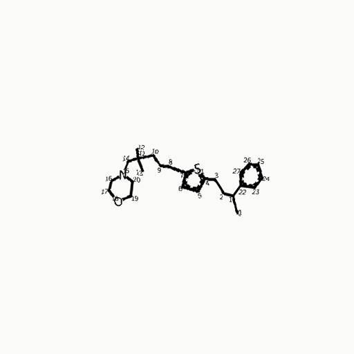 CC(CCc1ccc(CCCC(C)(C)CN2CCOCC2)s1)c1ccccc1